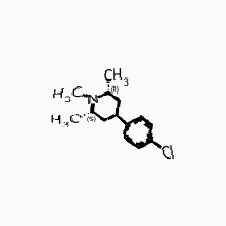 C[C@@H]1CC(c2ccc(Cl)cc2)C[C@H](C)N1C